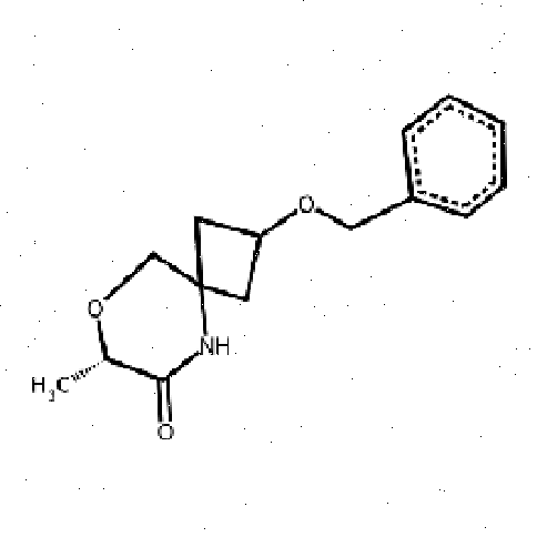 C[C@@H]1OCC2(CC(OCc3ccccc3)C2)NC1=O